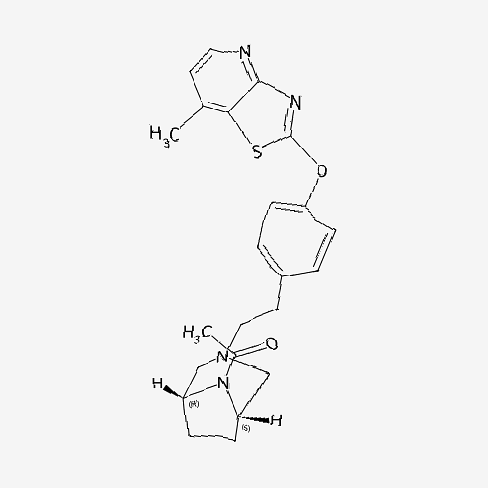 CC(=O)N1[C@@H]2CC[C@H]1CN(CCc1ccc(Oc3nc4nccc(C)c4s3)cc1)C2